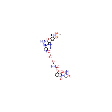 CCS(=O)(=O)Nc1ccc(-c2n[nH]c(Nc3ccnc(OCCOCCOCCNC(=O)COc4cccc5c4C(=O)N(C4CCC(=O)NC4=O)C5=O)c3)c2C(N)=O)cc1